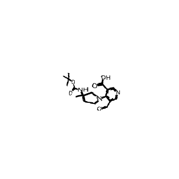 CC1(NC(=O)OC(C)(C)C)CCN(c2c(C=O)cncc2C(=O)O)C1